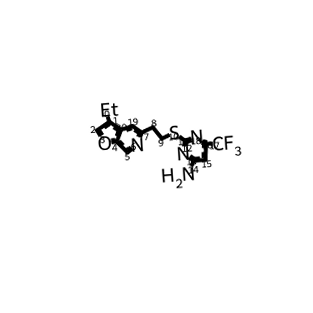 CCc1coc2cnc(CCSc3nc(N)cc(C(F)(F)F)n3)cc12